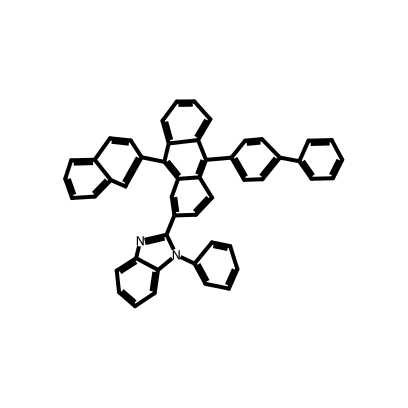 c1ccc(-c2ccc(-c3c4ccccc4c(-c4ccc5ccccc5c4)c4cc(-c5nc6ccccc6n5-c5ccccc5)ccc34)cc2)cc1